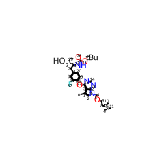 Cc1cn(COCC[Si](C)(C)C)c2ncnc(Oc3ccc(C[C@H](NC(=O)OC(C)(C)C)C(=O)O)cc3F)c12